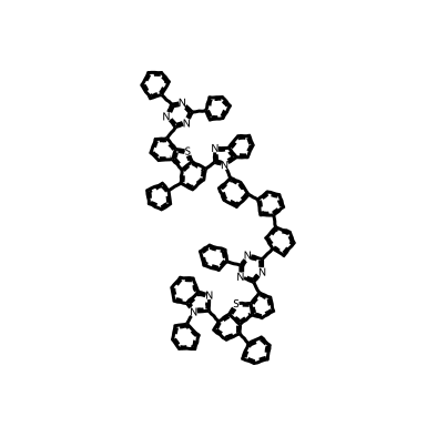 c1ccc(-c2nc(-c3cccc(-c4cccc(-c5cccc(-n6c(-c7ccc(-c8ccccc8)c8c7sc7c(-c9nc(-c%10ccccc%10)nc(-c%10ccccc%10)n9)cccc78)nc7ccccc76)c5)c4)c3)nc(-c3cccc4c3sc3c(-c5nc6ccccc6n5-c5ccccc5)ccc(-c5ccccc5)c34)n2)cc1